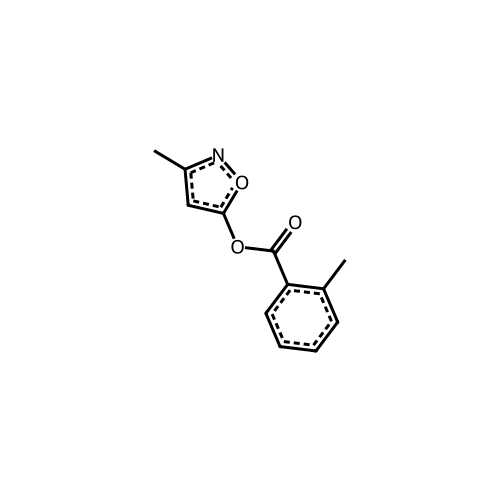 Cc1cc(OC(=O)c2ccccc2C)on1